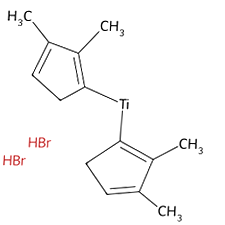 Br.Br.CC1=CC[C]([Ti][C]2=C(C)C(C)=CC2)=C1C